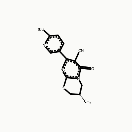 C[C@@H]1CSc2nc(-c3ccc(C(C)(C)C)nc3)c(C#N)c(=O)n2C1